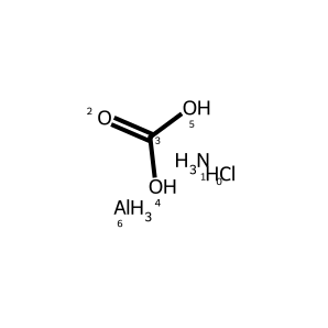 Cl.N.O=C(O)O.[AlH3]